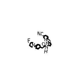 N#Cc1ccc(Cn2ccc(NC(=O)Cc3ccc(N4CCC(F)C4)cc3)n2)nc1